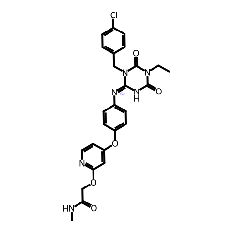 CCn1c(=O)[nH]/c(=N\c2ccc(Oc3ccnc(OCC(=O)NC)c3)cc2)n(Cc2ccc(Cl)cc2)c1=O